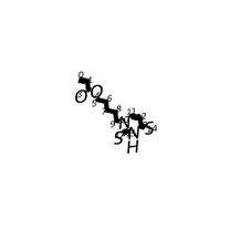 C=CC(=O)OCCCCCn1ccc(=S)[nH]c1=S